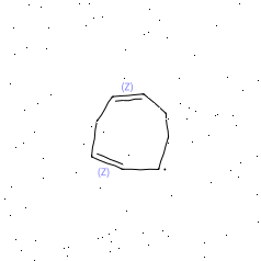 [CH]1/C=C\C/C=C\CC1